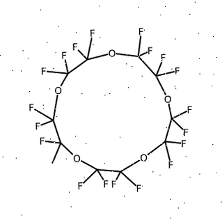 CC1(F)OC(F)(F)C(F)(F)OC(F)(F)C(F)(F)OC(F)(F)C(F)(F)OC(F)(F)C(F)(F)OC1(F)F